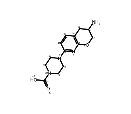 NC1COc2nc(N3CCN(C(=O)O)CC3)ccc2C1